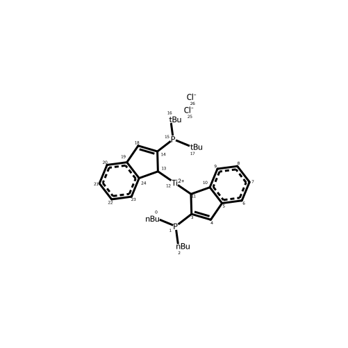 CCCCP(CCCC)C1=Cc2ccccc2[CH]1[Ti+2][CH]1C(P(C(C)(C)C)C(C)(C)C)=Cc2ccccc21.[Cl-].[Cl-]